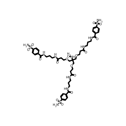 CNC(COCCC(=O)NCCCNC(=O)c1ccc(S(N)(=O)=O)cc1)(COCCC(=O)NCCCNC(=O)c1ccc(S(N)(=O)=O)cc1)COCCC(=O)NCCCNC(=O)c1ccc(S(N)(=O)=O)cc1